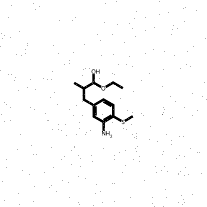 CCOC(O)C(C)Cc1ccc(SC)c(N)c1